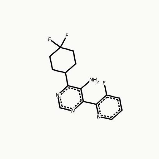 Nc1c(-c2ncccc2F)ncnc1C1CCC(F)(F)CC1